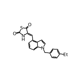 CCc1ccc(Cn2ccc3c(C=C4NC(=O)SC4=O)cccc32)cc1